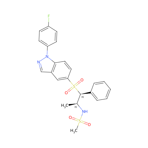 C[C@H](NS(C)(=O)=O)[C@H](c1ccccc1)S(=O)(=O)c1ccc2c(cnn2-c2ccc(F)cc2)c1